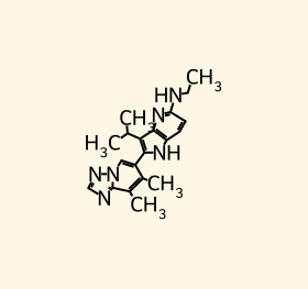 CCNc1ccc2[nH]c(-c3cn4ncnc4c(C)c3C)c(C(C)C)c2n1